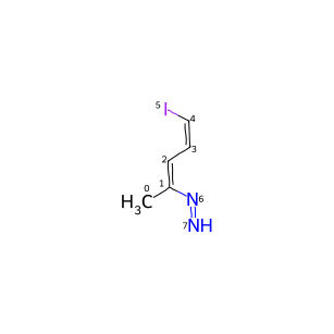 C/C(=C/C=C\I)N=N